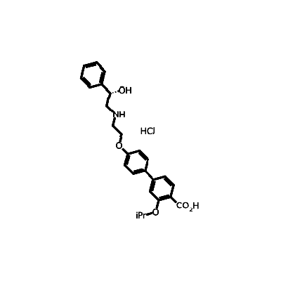 CC(C)Oc1cc(-c2ccc(OCCNC[C@@H](O)c3ccccc3)cc2)ccc1C(=O)O.Cl